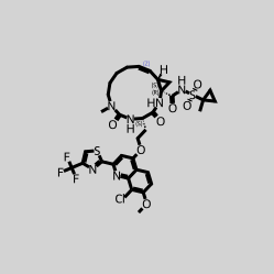 COc1ccc2c(OCC[C@@H]3NC(=O)N(C)CCCC/C=C\[C@@H]4C[C@@]4(C(=O)NS(=O)(=O)C4(C)CC4)NC3=O)cc(-c3nc(C(F)(F)F)cs3)nc2c1Cl